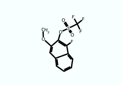 COc1cc2ccccc2c(F)c1OS(=O)(=O)C(F)(F)F